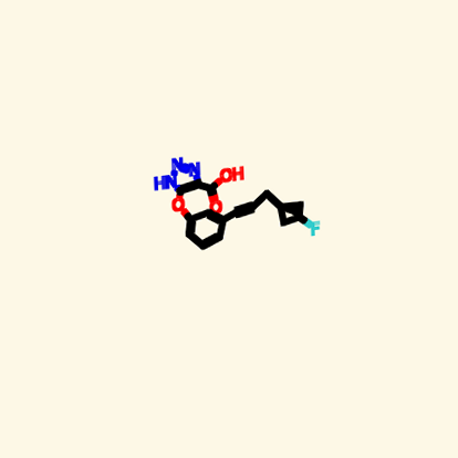 O=C(O)c1nn[nH]c1Oc1cccc(C#CCC23CC(F)(C2)C3)c1